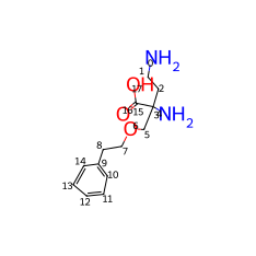 NCCC(N)(COCCc1ccccc1)C(=O)O